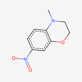 CN1CCOc2cc([N+](=O)[O-])ccc21